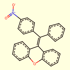 O=[N+]([O-])c1ccc(C(=C2c3ccccc3Oc3ccccc32)c2ccccc2)cc1